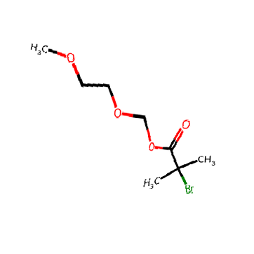 COCCOCOC(=O)C(C)(C)Br